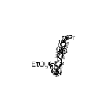 CCOC(=O)Oc1cc(N2CCN(S(=O)(=O)c3ccc(OC(C)C)cc3)CC2)ccc1-c1ncco1